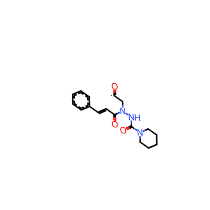 O=[C]CN(NC(=O)N1CCCCC1)C(=O)C=Cc1ccccc1